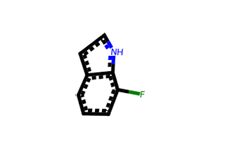 Fc1cc[c]c2cc[nH]c12